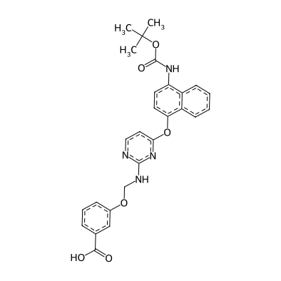 CC(C)(C)OC(=O)Nc1ccc(Oc2ccnc(NCOc3cccc(C(=O)O)c3)n2)c2ccccc12